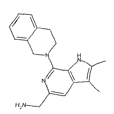 Cc1[nH]c2c(N3CCc4ccccc4C3)nc(CN)cc2c1C